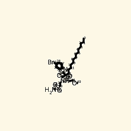 CCCCCCCCCCCCCCC(C(=O)NCCS(N)(=O)=O)(c1nc2ccc(Br)cc2s1)S(=O)(=O)CCOC